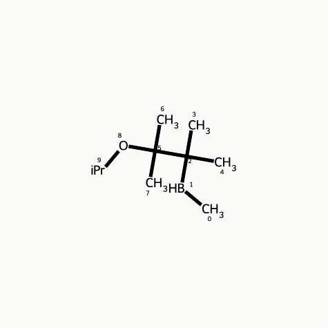 CBC(C)(C)C(C)(C)OC(C)C